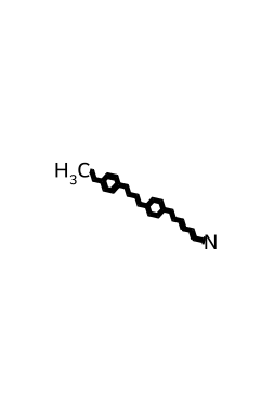 CCCc1ccc(CCCCC2CCC(CCC=CC=CC#N)CC2)cc1